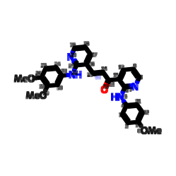 COc1ccc(Nc2ncccc2C(=O)/C=C/c2cccnc2Nc2ccc(OC)c(OC)c2)cc1